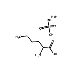 CSCCC(N)C(=O)O.O=S(=O)(O)O.[NaH]